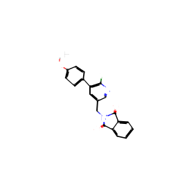 COc1ccc(-c2cc(CN3C(=O)c4ccccc4C3=O)cnc2Cl)cc1